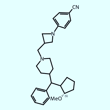 CO[C@H]1CCCC1C(c1ccccc1)C1CCN(CC2CN(c3ccc(C#N)cc3)C2)CC1